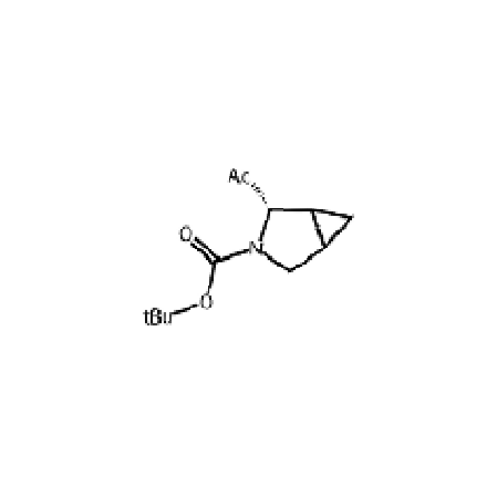 CC(=O)[C@@H]1C2CC2CN1C(=O)OC(C)(C)C